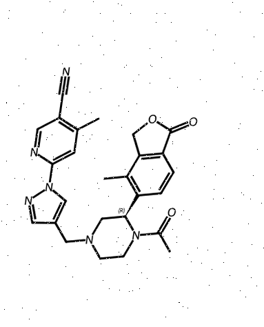 CC(=O)N1CCN(Cc2cnn(-c3cc(C)c(C#N)cn3)c2)C[C@H]1c1ccc2c(c1C)COC2=O